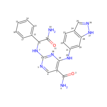 NC(=O)c1cnc(NC(C(N)=O)c2ccccc2)nc1Nc1ccc2cn[nH]c2c1